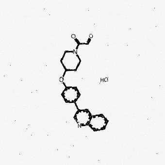 Cl.O=CC(=O)N1CCC(Oc2ccc(-c3cnc4ccccc4c3)cc2)CC1